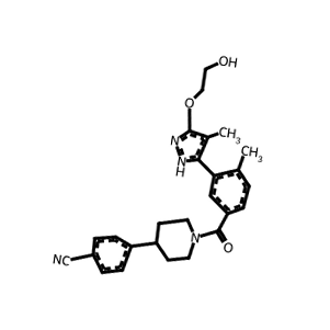 Cc1ccc(C(=O)N2CCC(c3ccc(C#N)cc3)CC2)cc1-c1[nH]nc(OCCO)c1C